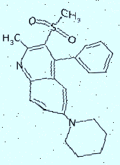 Cc1nc2ccc(N3CCCCC3)cc2c(-c2ccccc2)c1S(C)(=O)=O